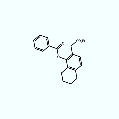 CCOC(=O)Cc1ccc2c(c1OC(=O)c1ccccc1)CCCC2